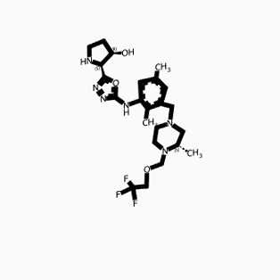 Cc1cc(CN2CCN(COCC(F)(F)F)[C@@H](C)C2)c(C)c(Nc2nnc([C@H]3NCC[C@H]3O)o2)c1